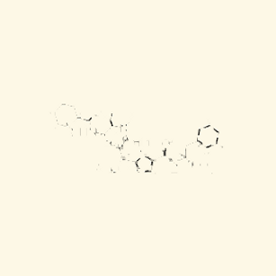 CC[C@H](C)C(NC(=O)C1CCCCN1C)C(=O)N(C)[C@H](C[C@@H](OC(C)=O)c1nc(C(=O)N[C@@H](Cc2ccccc2)C(=O)O)cs1)C(C)C